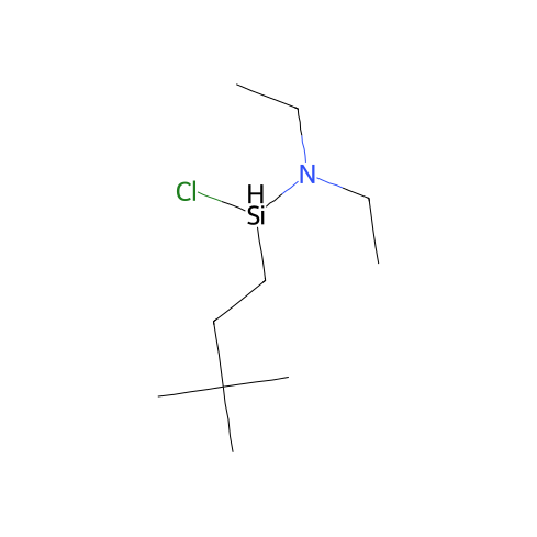 CCN(CC)[SiH](Cl)CCC(C)(C)C